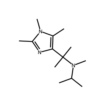 Cc1nc(C(C)(C)N(C)C(C)C)c(C)n1C